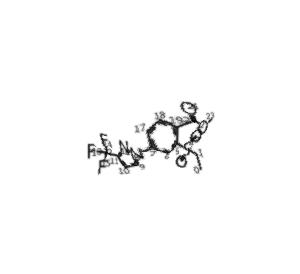 CCS(=O)(=O)c1cc(-n2ccc(C(F)(F)F)n2)ccc1C(=O)OC